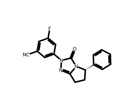 N#Cc1cc(F)cc(-n2nc3n(c2=O)[C@H](c2ccccc2)CC3)c1